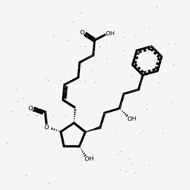 O=CO[C@H]1C[C@@H](O)[C@H](CC[C@@H](O)CCc2ccccc2)[C@H]1C/C=C\CCCC(=O)O